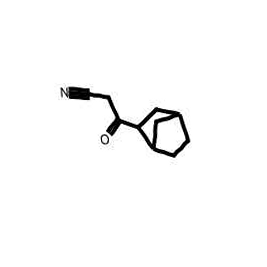 N#CCC(=O)C1CC2CCC1C2